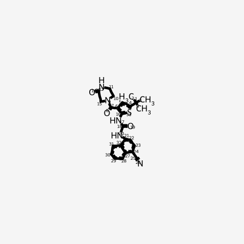 CC(C)(C)c1cc(C(=O)N2CCNC(=O)C2)c(NC(=O)Nc2ccc(C#N)c3ccccc23)s1